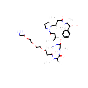 CC[C@H](C)[C@@H]([C@@H](CC(=O)N1CCC[C@H]1[C@H](OC)[C@@H](C)C(=O)N[C@H](C)[C@@H](O)c1ccccc1)OC)N(C)C(=O)[C@@H](NC(=O)C(C(C)C)N(C)C(=O)CCOCCOCCOCCN)C(C)C